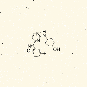 O[C@H]1CC[C@H](Nc2nccc(-c3noc4ccc(F)cc34)n2)CC1